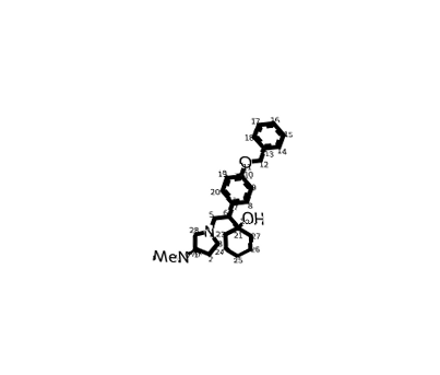 CN[C@@H]1CCN(CC(c2ccc(OCc3ccccc3)cc2)C2(O)CCCCC2)C1